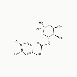 CC(=O)[C@]1(O)C[C@@H](O)[C@@H](O)[C@H](OC(=O)/C=C\c2ccc(O)c(O)c2)C1